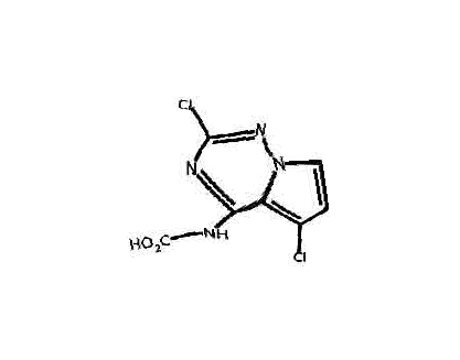 O=C(O)Nc1nc(Cl)nn2ccc(Cl)c12